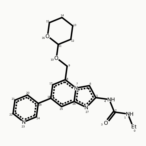 CCNC(=O)Nc1cn2c(COC3CCCCO3)cc(-c3cccnc3)cc2n1